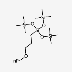 [CH2]CCOCCC[Si](O[Si](C)(C)C)(O[Si](C)(C)C)O[Si](C)(C)C